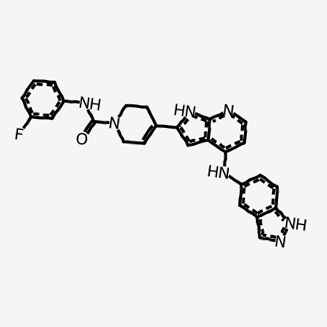 O=C(Nc1cccc(F)c1)N1CC=C(c2cc3c(Nc4ccc5[nH]ncc5c4)ccnc3[nH]2)CC1